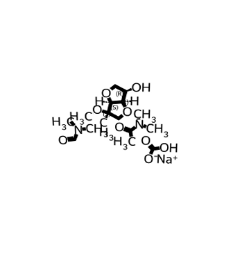 CC(=O)N(C)C.CN(C)C=O.CO[C@@]1(C)CO[C@@H]2[C@H](O)CO[C@@H]21.O=C([O-])O.[Na+]